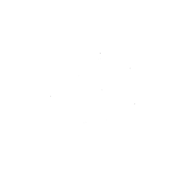 C[C@@H](Oc1cccc(Br)c1)C1CCCCC1